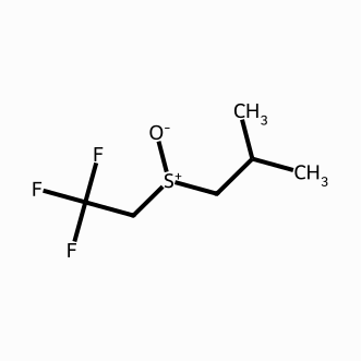 CC(C)C[S+]([O-])CC(F)(F)F